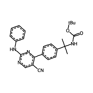 CC(C)(C)OC(=O)NC(C)(C)c1ccc(-c2nc(Nc3ccccc3)ncc2C#N)cc1